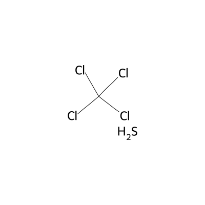 ClC(Cl)(Cl)Cl.S